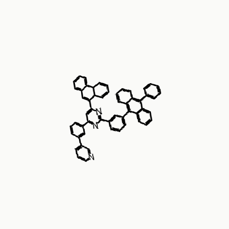 C1=CC2C(c3cc(-c4cccc(-c5cccnc5)c4)nc(-c4cccc(-c5c6ccccc6c(-c6ccccc6)c6ccccc56)c4)n3)=Cc3ccccc3C2C=C1